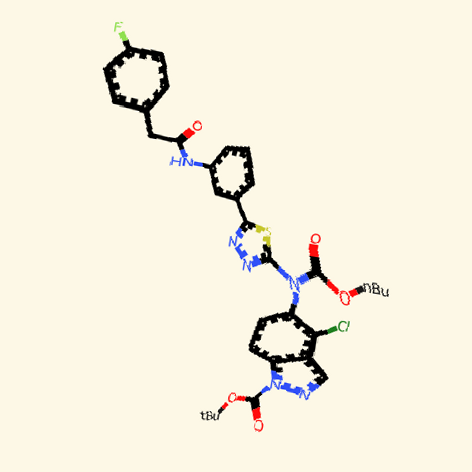 CCCCOC(=O)N(c1nnc(-c2cccc(NC(=O)Cc3ccc(F)cc3)c2)s1)c1ccc2c(cnn2C(=O)OC(C)(C)C)c1Cl